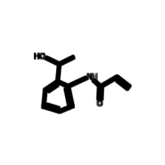 C=CC(=O)Nc1ccccc1C(C)O